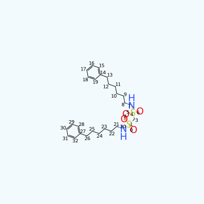 O=S(=O)(CS(=O)(=O)NCCCCCCc1ccccc1)NCCCCCCc1ccccc1